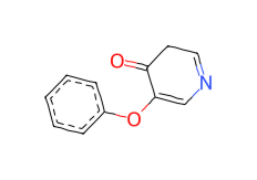 O=C1CC=NC=C1Oc1ccccc1